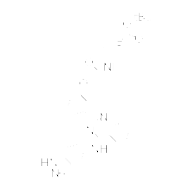 CC(C)(C)OC(=O)B1CCC(NC(=O)COc2cccc(-c3nc(Nc4ccc5[nH]ncc5c4)c4ccccc4n3)c2)C1